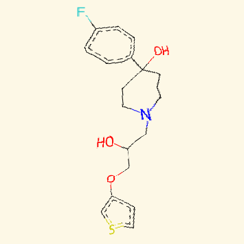 OC(COc1ccsc1)CN1CCC(O)(c2ccc(F)cc2)CC1